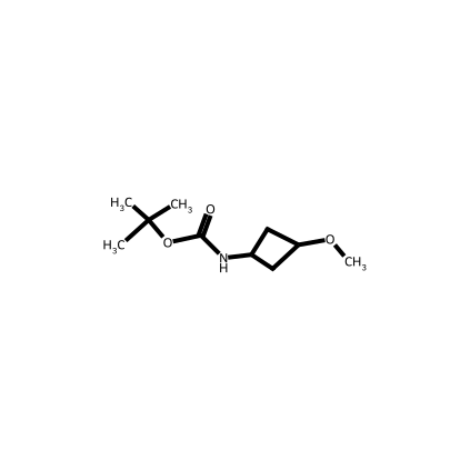 COC1CC(NC(=O)OC(C)(C)C)C1